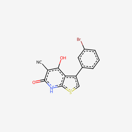 N#Cc1c(O)c2c(-c3cccc(Br)c3)csc2[nH]c1=O